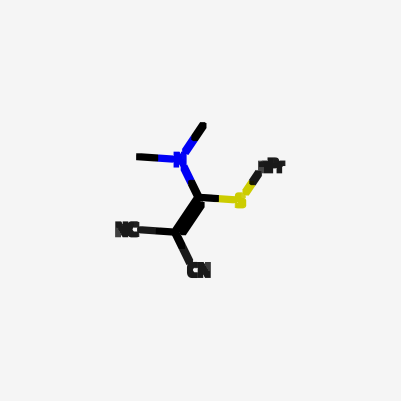 CCCSC(=C(C#N)C#N)N(C)C